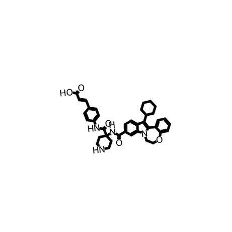 O=C(O)/C=C/c1ccc(NC(=O)C2(NC(=O)c3ccc4c(C5CCCCC5)c5n(c4c3)CCOc3ccccc3-5)CCNCC2)cc1